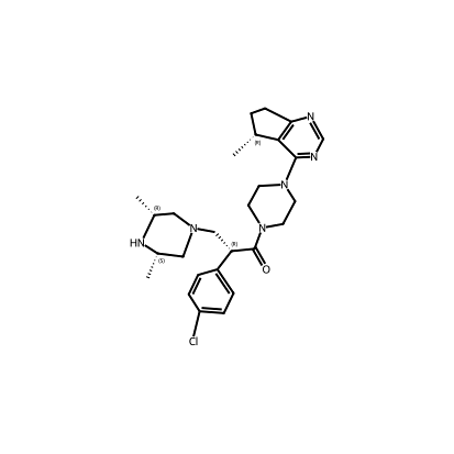 C[C@@H]1CN(C[C@H](C(=O)N2CCN(c3ncnc4c3[C@H](C)CC4)CC2)c2ccc(Cl)cc2)C[C@H](C)N1